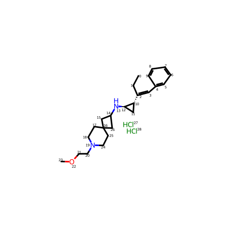 CC/C(=C\c1ccccc1)[C@@H]1C[C@H]1NC1CC2(CCN(CCOC)CC2)C1.Cl.Cl